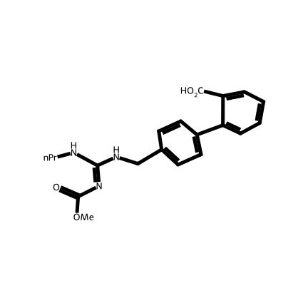 CCCNC(=NC(=O)OC)NCc1ccc(-c2ccccc2C(=O)O)cc1